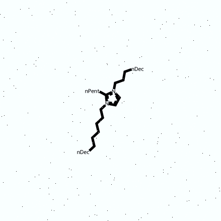 CCCCCCCCCCCCCCCC[n+]1ccn(CCCCCCCCCCCCC)c1CCCCC